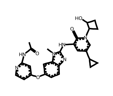 CC(=O)Nc1cc(Oc2ccc3nc(Nc4cc(C5CC5)cn(C5CCC5O)c4=O)n(C)c3c2)ccn1